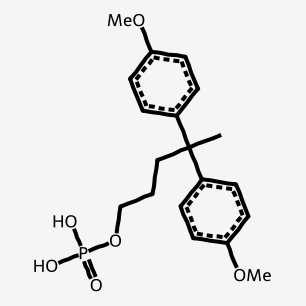 COc1ccc(C(C)(CCCOP(=O)(O)O)c2ccc(OC)cc2)cc1